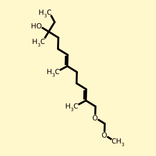 CCC(C)(O)CC/C=C(\C)CC/C=C(\C)COCOC